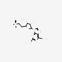 C=P(C)(C)CCC1OC(n2cnc3c(N)nc(CCCC)nc32)[C@H](O)[C@@H]1O